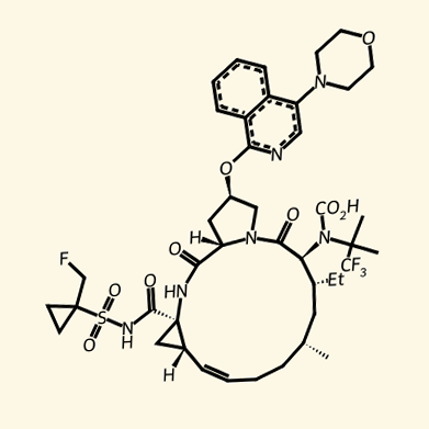 CC[C@@H]1C[C@H](C)CCC=C[C@@H]2C[C@@]2(C(=O)NS(=O)(=O)C2(CF)CC2)NC(=O)[C@@H]2C[C@@H](Oc3ncc(N4CCOCC4)c4ccccc34)CN2C(=O)[C@H]1N(C(=O)O)C(C)(C)C(F)(F)F